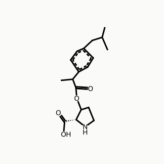 CC(C)Cc1ccc(C(C)C(=O)OC2CCN[C@@H]2C(=O)O)cc1